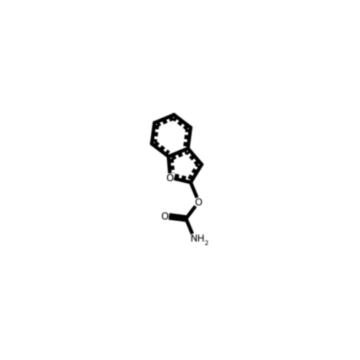 NC(=O)Oc1cc2ccccc2o1